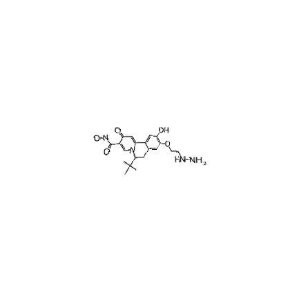 CC(C)(C)C1Cc2cc(OCCNN)c(O)cc2-c2cc(=O)c(C(=O)N=O)cn21